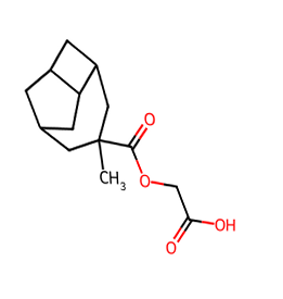 CC1(C(=O)OCC(=O)O)CC2CC3CC(C1)C3C2